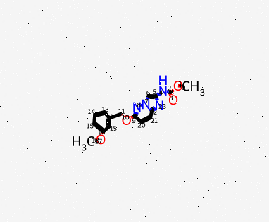 COC(=O)Nc1cn2nc(OCc3cccc(OC)c3)ccc2n1